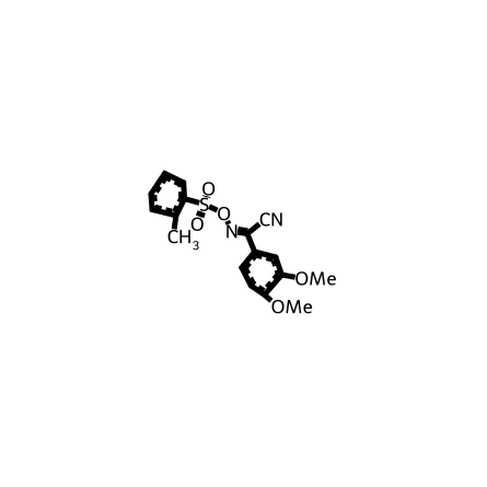 COc1ccc(/C(C#N)=N/OS(=O)(=O)c2ccccc2C)cc1OC